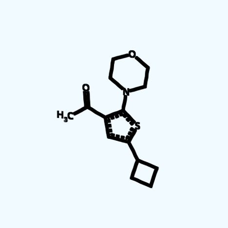 CC(=O)c1cc(C2CCC2)sc1N1CCOCC1